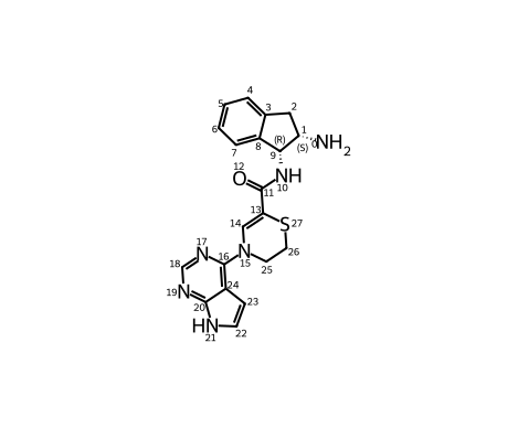 N[C@H]1Cc2ccccc2[C@H]1NC(=O)C1=CN(c2ncnc3[nH]ccc23)CCS1